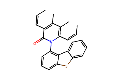 C/C=C\c1c(C)c(C)c(/C=C\C)n(-c2cccc3sc4ccccc4c23)c1=O